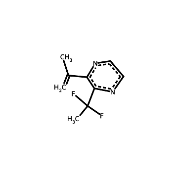 C=C(C)c1nccnc1C(C)(F)F